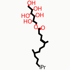 CC(=CCCC(=O)OC[C@H](O)[C@H](O)[C@@H](O)[C@@H](O)CO)CCCC(C)CCCC(C)C